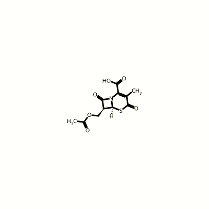 CC(=O)OC[C@H]1C(=O)N2C(C(=O)O)=C(C)C(=O)S[C@@H]12